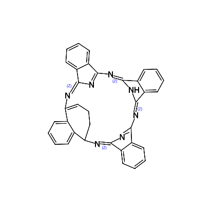 C1=C2/N=C3N=C(/N=c4\[nH]/c(c5ccccc45)=N\C4=NC(=N\C(CC1)c1ccccc12)/c1ccccc14)c1ccccc1\3